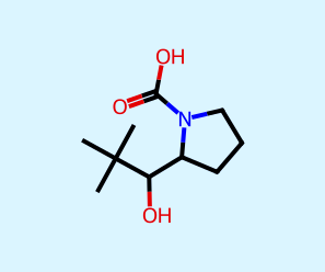 CC(C)(C)C(O)C1CCCN1C(=O)O